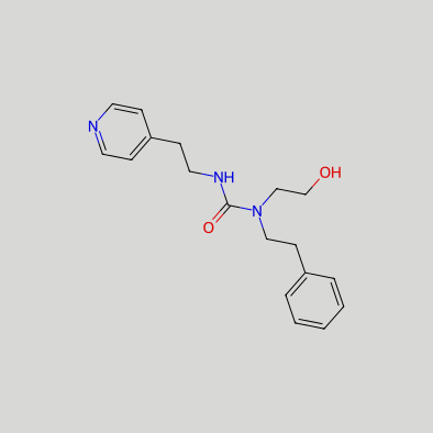 O=C(NCCc1ccncc1)N(CCO)CCc1ccccc1